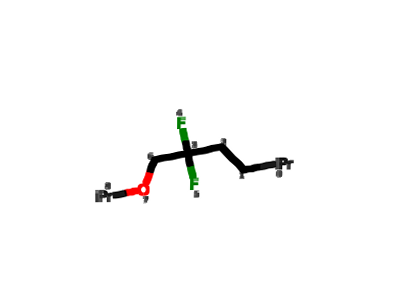 CC(C)CCC(F)(F)COC(C)C